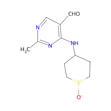 Cc1ncc(C=O)c(NC2CC[S+]([O-])CC2)n1